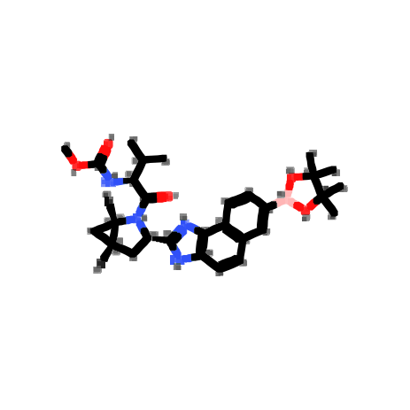 COC(=O)N[C@H](C(=O)N1[C@H](c2nc3c(ccc4cc(B5OC(C)(C)C(C)(C)O5)ccc43)[nH]2)C[C@@H]2C[C@@H]21)C(C)C